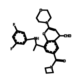 CC(Nc1cc(F)cc(F)c1)c1cc(C(=O)N2CCC2)cc2c1OC(N1CCOCC1)=CC2C=O